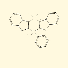 CCC[CH2][Hf]1([CH2]CCC)[CH]2C3C=CC=CC3CC2[Si](C)(c2ccccc2)C2CC3C=CC=CC3[CH]21